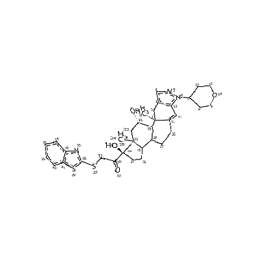 CC12Cc3cnn(C4CCOCC4)c3C=C1CCC1C2[C@@H](O)CC2(C)C1CC[C@]2(O)C(=O)CSc1nc2ccccc2s1